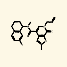 C=CCn1cc(C(=O)N(C)C2CCCc3ccc(F)cc32)c2cc(C)[nH]c2c1=O